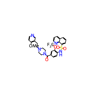 COc1ccncc1CCN1CCN(C(=O)c2ccc(NS(=O)(=O)c3cccc4cccnc34)c(OC(F)(F)F)c2)CC1